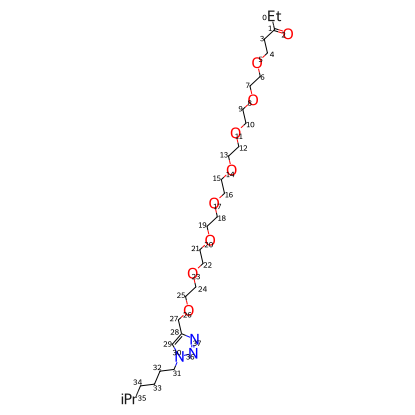 CCC(=O)CCOCCOCCOCCOCCOCCOCCOCCOCc1cn(CCCCC(C)C)nn1